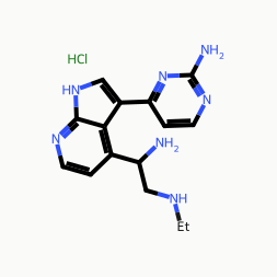 CCNCC(N)c1ccnc2[nH]cc(-c3ccnc(N)n3)c12.Cl